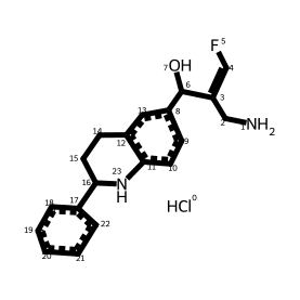 Cl.NC/C(=C/F)C(O)c1ccc2c(c1)CCC(c1ccccc1)N2